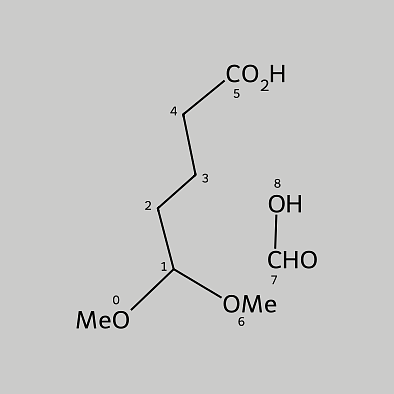 COC(CCCC(=O)O)OC.O=CO